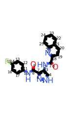 O=C(Nc1c[nH]nc1C(=O)Nc1ccc(F)cc1)c1ccc2ccccc2n1